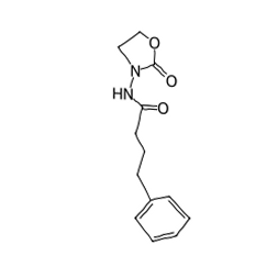 O=C(CCCc1ccccc1)NN1CCOC1=O